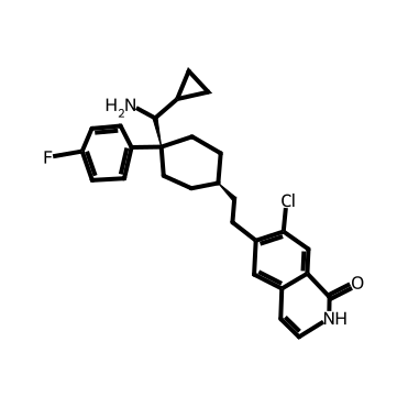 NC(C1CC1)[C@]1(c2ccc(F)cc2)CC[C@H](CCc2cc3cc[nH]c(=O)c3cc2Cl)CC1